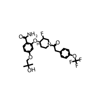 CC(C)(O)COc1ccc(C(N)=O)c(O[C@@H]2CCN(C(=O)Cc3ccc(OC(F)(F)F)cc3)CC2F)c1